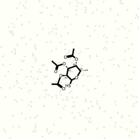 CC(=O)O[C@@H]1[C@H](OC(C)=O)[C@H](C)OC(S)[C@H]1OC(C)=O